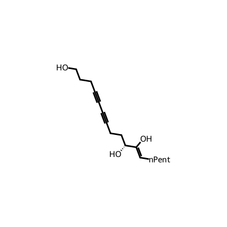 CCCCCC=C(O)[C@H](O)CCC#CC#CCCCO